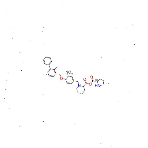 Cc1c(COc2ccc(CN3CCCCC3C(=O)OC(=O)[C@@H]3CCCN3)cc2[N+](=O)[O-])cccc1-c1ccccc1